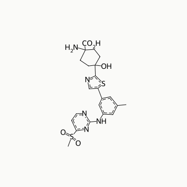 Cc1cc(Nc2nccc(S(C)(=O)=O)n2)cc(-c2cnc(C3(O)CCC(N)(C(=O)O)CC3)s2)c1